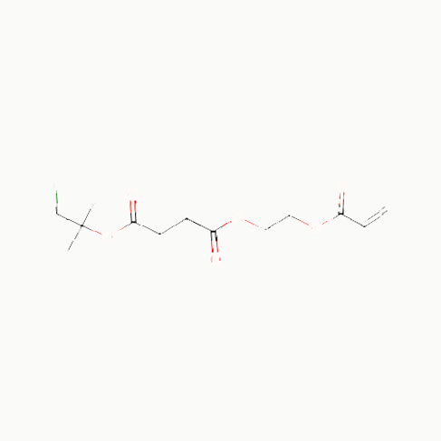 C=CC(=O)OCCOC(=O)CCC(=O)OC(C)(C)CCl